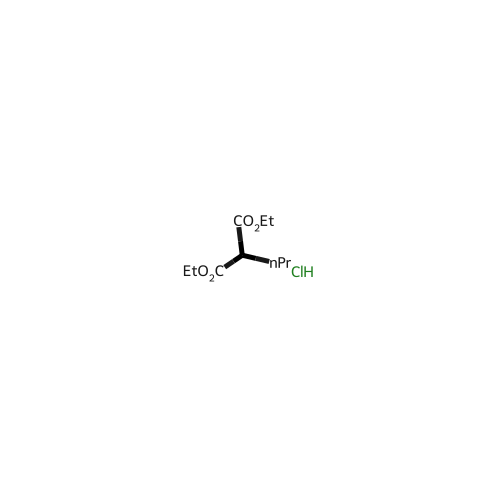 CCCC(C(=O)OCC)C(=O)OCC.Cl